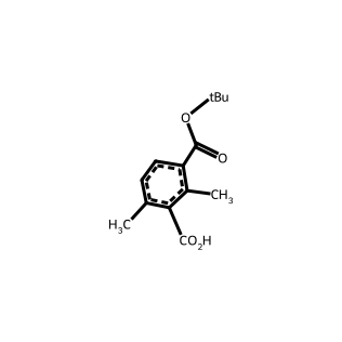 Cc1ccc(C(=O)OC(C)(C)C)c(C)c1C(=O)O